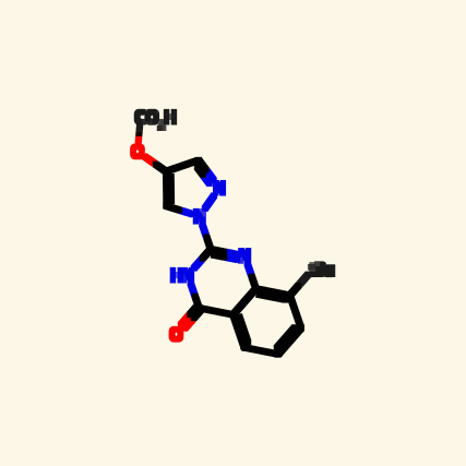 CC(C)(C)c1cccc2c(=O)[nH]c(-n3cc(OC(=O)O)cn3)nc12